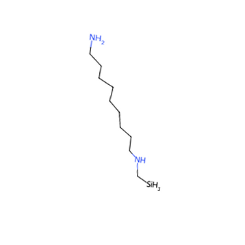 NCCCCCCCCCNC[SiH3]